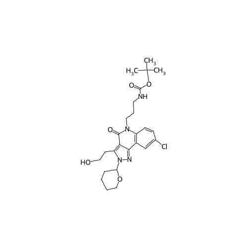 CC(C)(C)OC(=O)NCCCn1c(=O)c2c(CCO)n(C3CCCCO3)nc2c2cc(Cl)ccc21